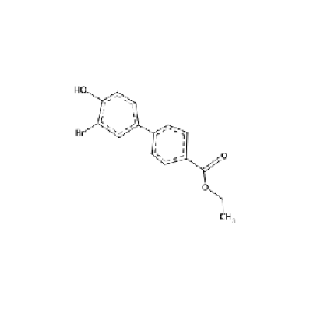 CCOC(=O)c1ccc(-c2ccc(O)c(Br)c2)cc1